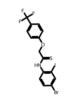 FC(F)(F)c1ccc(OCC(=S)Nc2ccc(Br)cc2I)cc1